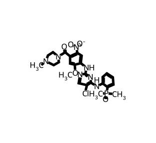 COc1cc(C(=O)N2CCN(C)CC2)c([N+](=O)[O-])cc1Nc1ncc(Cl)c(Nc2ccccc2P(C)(C)=O)n1